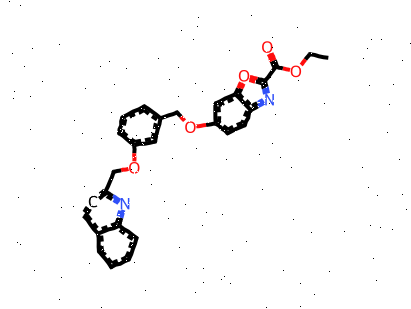 CCOC(=O)c1nc2ccc(OCc3cccc(OCc4ccc5ccccc5n4)c3)cc2o1